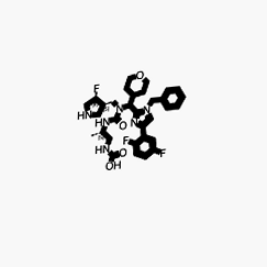 C[C@@H](CNC(=O)O)NC(=O)N(C[C@@H]1CNC[C@@H]1F)C(c1nc(-c2cc(F)ccc2F)cn1Cc1ccccc1)C1CCOCC1